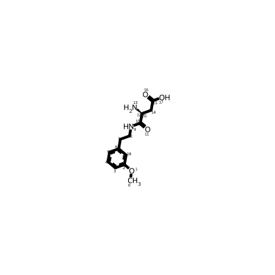 COc1cccc(CCNC(=O)[C@@H](N)CC(=O)O)c1